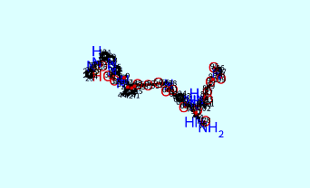 Cc1c(-c2ccc(N3CCc4cccc(C(=O)Nc5nc6ccccc6s5)c4C3)nc2C(=O)O)cnn1CC12CC3(C)CC(C)(C1)CC(OCCOCCOCCN(C)C(=O)OCc1ccc(NC(=O)[C@H](CCCCNC(N)=O)NC(=O)[C@@H](NC(=O)COCCOCCN4C(=O)C=CC4=O)C(C)C)cc1)(C3)C2